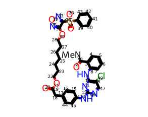 CNC(=O)c1ccccc1Nc1nc(Nc2ccc(CC(=O)OCCCCCCCOc3nonc3S(=O)(=O)c3ccccc3)cc2)ncc1Cl